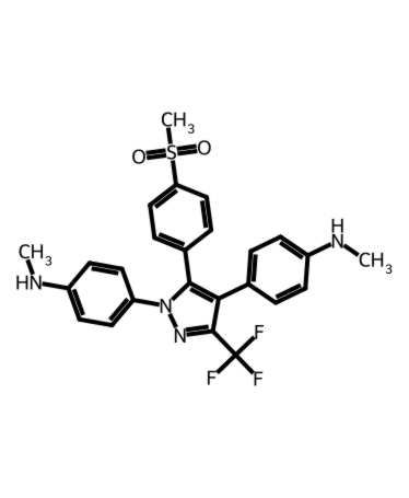 CNc1ccc(-c2c(C(F)(F)F)nn(-c3ccc(NC)cc3)c2-c2ccc(S(C)(=O)=O)cc2)cc1